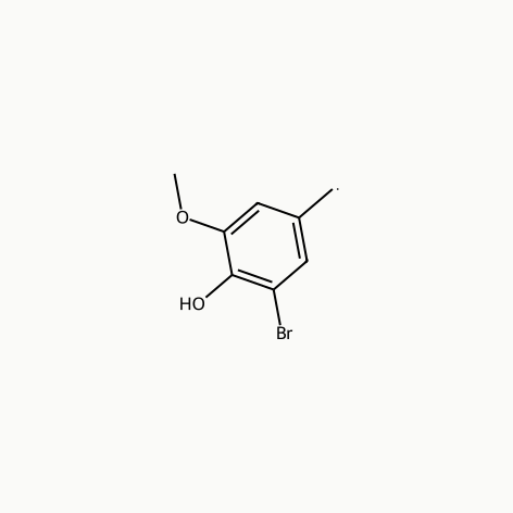 [CH2]c1cc(Br)c(O)c(OC)c1